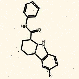 O=C(Nc1ccccc1)C1CCCC2c3cc(Br)ccc3NC12